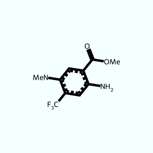 CNc1cc(C(=O)OC)c(N)cc1C(F)(F)F